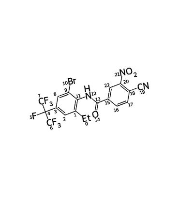 CCc1cc(C(F)(C(F)(F)F)C(F)(F)F)cc(Br)c1NC(=O)c1ccc(C#N)c([N+](=O)[O-])c1